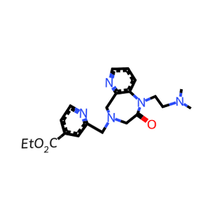 CCOC(=O)c1ccnc(CN2CC(=O)N(CCN(C)C)c3cccnc3C2)c1